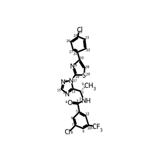 C[C@H](NC(=O)c1cc(Cl)cc(C(F)(F)F)c1)c1ncnn1-c1nc(-c2ccc(Cl)cc2)cs1